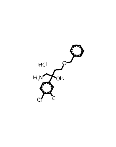 Cl.NCC(O)(CCOCc1ccccc1)c1ccc(Cl)c(Cl)c1